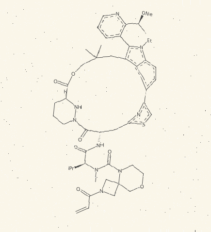 C=CC(=O)N1CC2(COCCN2C(=O)N(C)[C@H](C(=O)N[C@H]2Cc3nc(cs3)-c3ccc4c(c3)c(c(-c3cccnc3[C@H](C)OC)n4CC)CC(C)(C)COC(=O)[C@@H]3CCCN(N3)C2=O)C(C)C)C1